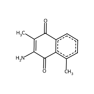 CC1=C(N)C(=O)c2c(C)cccc2C1=O